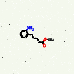 CC(C)(C)OC(=O)CCCCc1ccccc1N